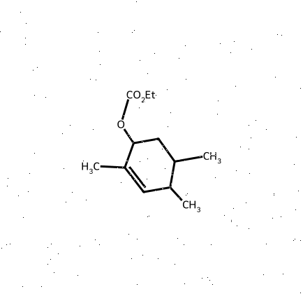 CCOC(=O)OC1CC(C)C(C)C=C1C